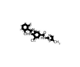 Cc1cnc(NC(=O)c2cc(Cl)c3[nH]c(-c4c(F)cccc4Cl)nc3c2)s1